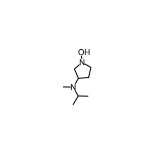 CC(C)N(C)C1CCN(O)C1